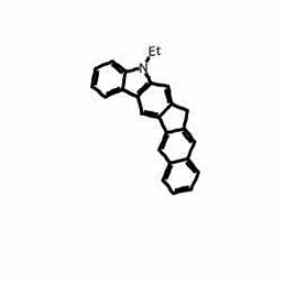 CCn1c2ccccc2c2cc3c(cc21)Cc1cc2ccccc2cc1-3